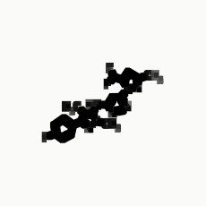 Cc1cc(C(F)F)n(-c2cc(Nc3c(C)c(-c4ccc(F)cc4)nn3C)ncn2)n1